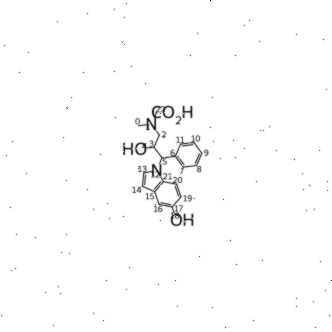 CN(CC(O)C(c1ccccc1)n1ccc2cc(O)ccc21)C(=O)O